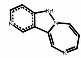 C1=CN2Nc3ccncc3C2=CN=C1